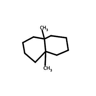 CC12CCCCC1(C)CCCC2